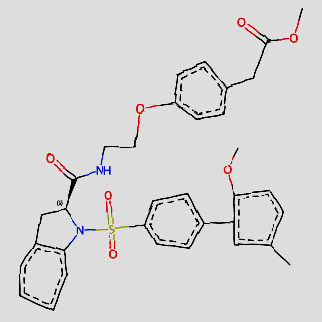 COC(=O)Cc1ccc(OCCNC(=O)[C@@H]2Cc3ccccc3N2S(=O)(=O)c2ccc(-c3cc(C)ccc3OC)cc2)cc1